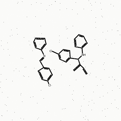 C=CC(=C)C(Nc1ccccc1)c1ccc(Cl)cc1.Clc1ccc(C=Nc2ccccc2)cc1